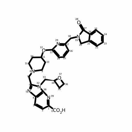 O=C(O)c1ccc2nc(CN3CCC(Oc4cccc(CN5Cc6ccccc6C5=O)n4)CC3)n(C[C@@H]3CCO3)c2n1